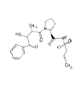 C=CCS(=O)(=O)NC(=O)[C@@H]1CCCN1C(=O)C(C)C(S)C(=O)c1ccccc1